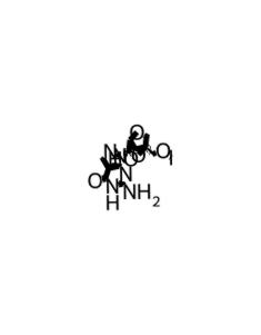 Nc1nc2c(cnn2[C@@H]2O[C@@]3(COI)COC2C3O)c(=O)[nH]1